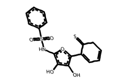 O=S(=O)(Nc1oc(C2=CC=CCC2=S)c(O)c1O)c1ccccc1